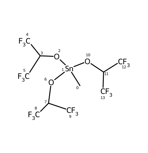 [CH3][Sn]([O]C(C(F)(F)F)C(F)(F)F)([O]C(C(F)(F)F)C(F)(F)F)[O]C(C(F)(F)F)C(F)(F)F